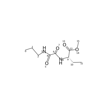 CCCNC(=O)C(=O)N[C@@H](CC)C(=O)OC